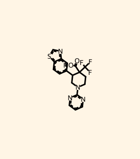 O=C(O)C1(C(F)(F)F)CCN(c2ncccn2)CC1c1ccc2scnc2c1